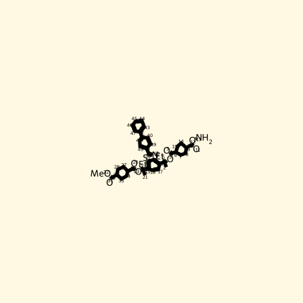 CCC(C)(OC(=O)C1CCC(C(=O)ON)CC1)c1ccc(C(C)(CC)OC(=O)C2CCC(C(=O)OC)CC2)c2sc(-c3ccc(-c4ccccc4)cc3)nc12